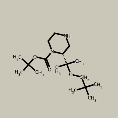 CC(C)(C)OC(=O)N1CCNC[C@@H]1C(C)(C)O[SiH2]C(C)(C)C